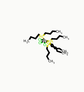 CCCC[SH](CCCC)[Rh]([Cl])([Cl])([Cl])([SH](CCCC)CCCC)[SH](CCCC)CCCC